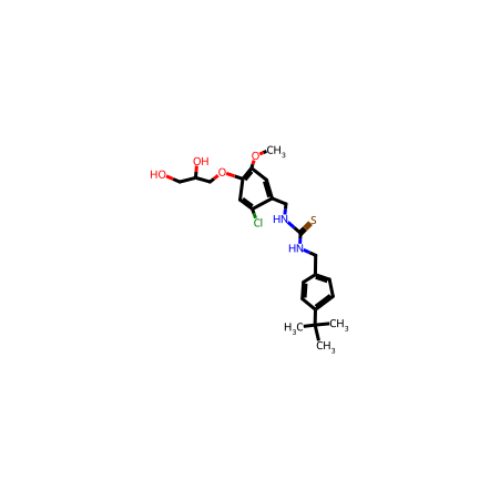 COc1cc(CNC(=S)NCc2ccc(C(C)(C)C)cc2)c(Cl)cc1OCC(O)CO